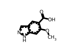 COc1cc2[nH]ncc2cc1C(=O)O